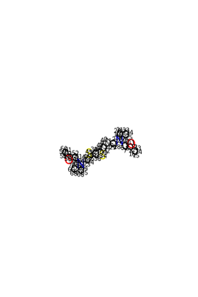 Cc1cc(N(c2ccc3c(c2)oc2ccccc23)c2cccc3ccccc23)ccc1-c1cc2sc3cc4c(cc3c2cc1C)sc1cc(N(c2ccc3c(c2)oc2ccccc23)c2cccc3ccccc23)ccc14